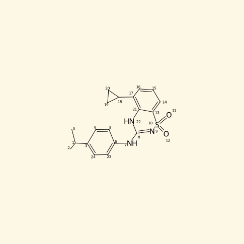 CC(C)c1ccc(NC2=NS(=O)(=O)c3cccc(C4CC4)c3N2)cc1